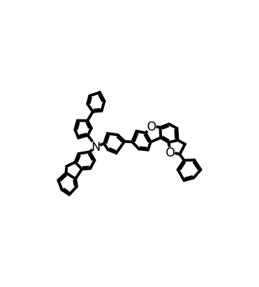 c1ccc(-c2cccc(N(c3ccc(-c4ccc5c(c4)oc4ccc6c(c45)OC(c4ccccc4)C6)cc3)c3ccc4c(c3)Cc3ccccc3-4)c2)cc1